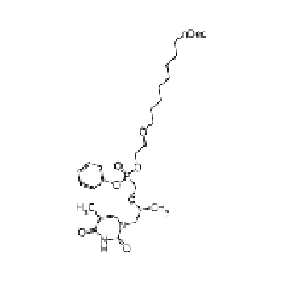 CCCCCCCCCCCCCCCCCCOCCOP(=O)(COC(C)Cn1cc(C)c(=O)[nH]c1=O)Oc1ccccc1